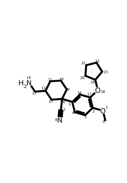 COc1ccc(C2(C#N)CCCC(CN)C2)cc1OC1CCCC1